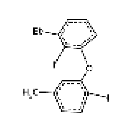 CCc1cccc(Oc2cc(C)ccc2I)c1I